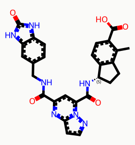 Cc1c(C(=O)O)ccc2c1CC[C@@H]2NC(=O)c1cc(C(=O)NCc2ccc3[nH]c(=O)[nH]c3c2)nc2ccnn12